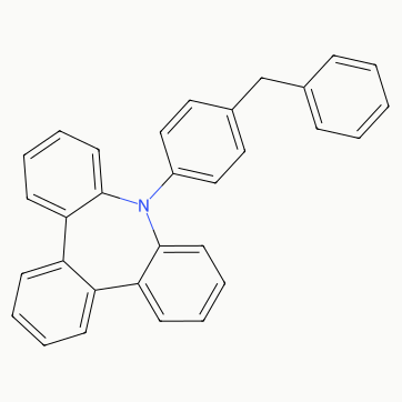 c1ccc(Cc2ccc(N3c4ccccc4-c4ccccc4-c4ccccc43)cc2)cc1